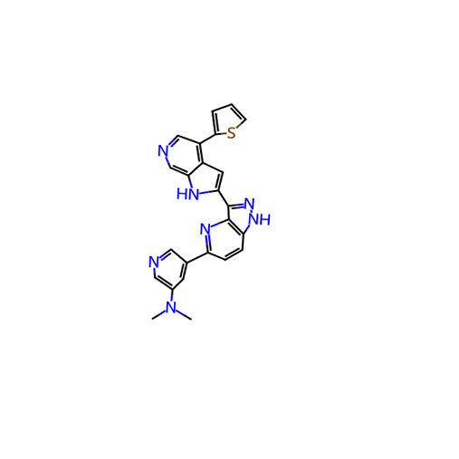 CN(C)c1cncc(-c2ccc3[nH]nc(-c4cc5c(-c6cccs6)cncc5[nH]4)c3n2)c1